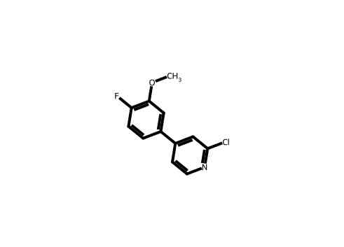 COc1cc(-c2ccnc(Cl)c2)ccc1F